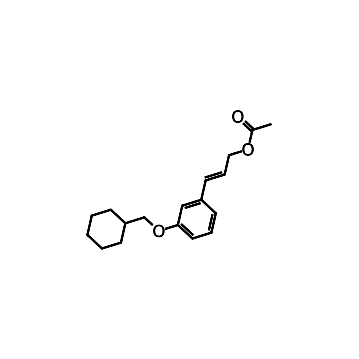 CC(=O)OC/C=C/c1cccc(OCC2CCCCC2)c1